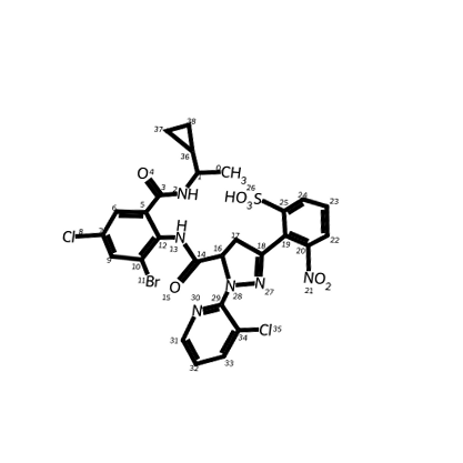 CC(NC(=O)c1cc(Cl)cc(Br)c1NC(=O)C1CC(c2c([N+](=O)[O-])cccc2S(=O)(=O)O)=NN1c1ncccc1Cl)C1CC1